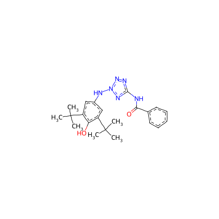 CC(C)(C)c1cc(Nn2nnc(NC(=O)c3ccccc3)n2)cc(C(C)(C)C)c1O